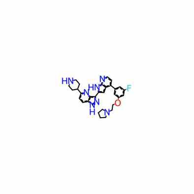 Fc1cc(OCCN2CCCC2)cc(-c2ccnc3[nH]c(-c4n[nH]c5ccc(C6CCNCC6)nc45)cc23)c1